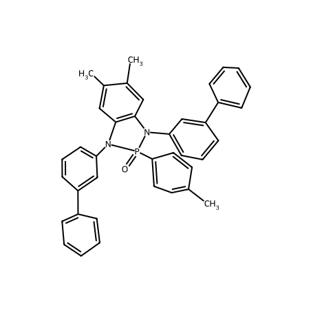 Cc1ccc(P2(=O)N(c3cccc(-c4ccccc4)c3)c3cc(C)c(C)cc3N2c2cccc(-c3ccccc3)c2)cc1